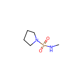 CNS(=O)(=O)N1CCCC1